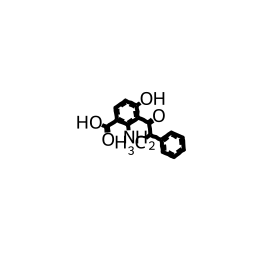 CC(C(=O)c1c(O)ccc(C(=O)O)c1N)c1ccccc1